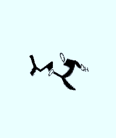 C=C(C)COC(C)C(=O)O